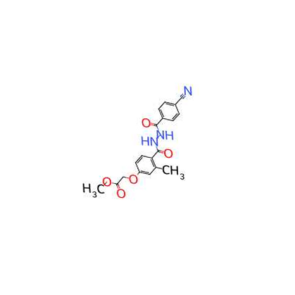 COC(=O)COc1ccc(C(=O)NNC(=O)c2ccc(C#N)cc2)c(C)c1